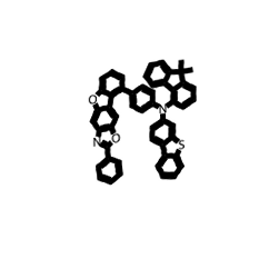 CC1(C)c2ccccc2-c2c(N(c3ccc(-c4cccc5oc6cc7nc(-c8ccccc8)oc7cc6c45)cc3)c3ccc4c(c3)sc3ccccc34)cccc21